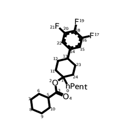 CCCCCC1(OC(=O)C2CCCCC2)CCC(c2cc(F)c(F)c(F)c2)CC1